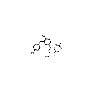 CC[C@H]1CC(c2ccc(Cl)c(Cc3ccc(O)cc3)c2)[C@H](OC(C)=O)[C@@H](C)[C@@H]1C